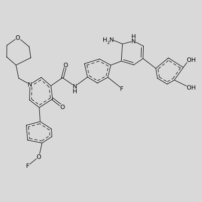 NC1NC=C(c2ccc(O)c(O)c2)C=C1c1ccc(NC(=O)c2cn(CC3CCOCC3)cc(-c3ccc(OF)cc3)c2=O)cc1F